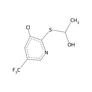 CC(O)Sc1ncc(C(F)(F)F)cc1Cl